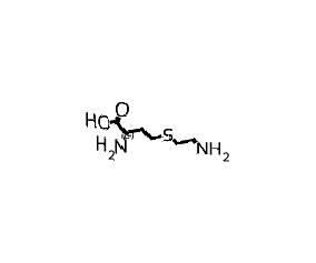 NCCSCC[C@H](N)C(=O)O